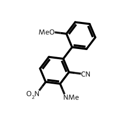 CNc1c([N+](=O)[O-])ccc(-c2ccccc2OC)c1C#N